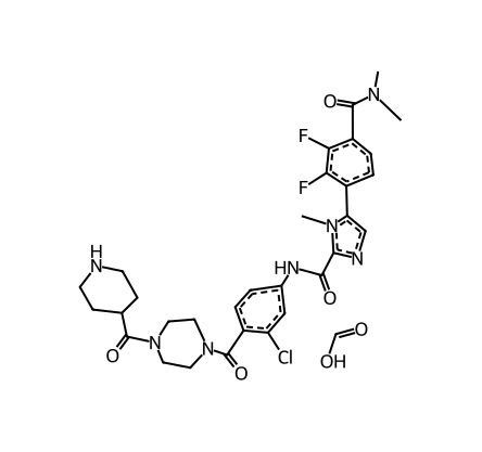 CN(C)C(=O)c1ccc(-c2cnc(C(=O)Nc3ccc(C(=O)N4CCN(C(=O)C5CCNCC5)CC4)c(Cl)c3)n2C)c(F)c1F.O=CO